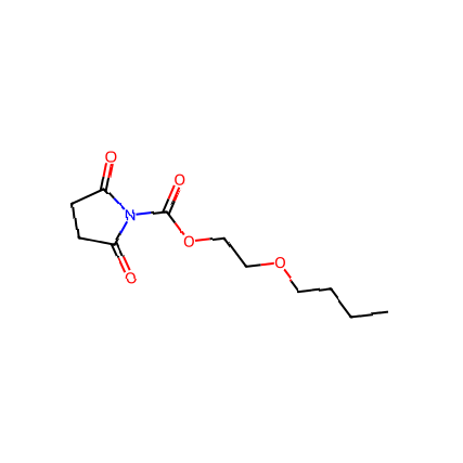 CCCCOCCOC(=O)N1C(=O)CCC1=O